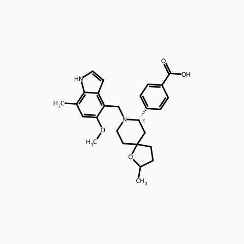 COc1cc(C)c2[nH]ccc2c1CN1CCC2(CCC(C)O2)C[C@H]1c1ccc(C(=O)O)cc1